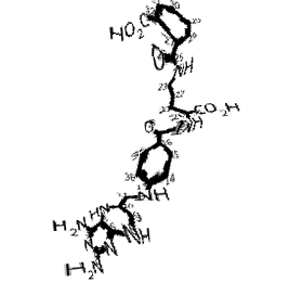 Nc1nc(N)c2c(n1)NCC(CNc1ccc(C(=O)NC(CCCNC(=O)c3ccccc3C(=O)O)C(=O)O)cc1)N2